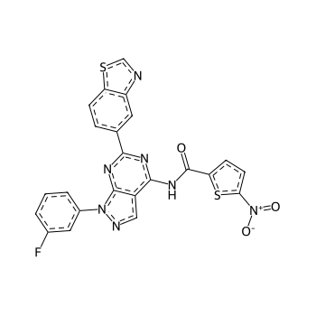 O=C(Nc1nc(-c2ccc3scnc3c2)nc2c1cnn2-c1cccc(F)c1)c1ccc([N+](=O)[O-])s1